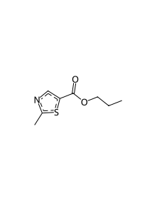 CCCOC(=O)c1cnc(C)s1